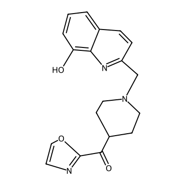 O=C(c1ncco1)C1CCN(Cc2ccc3cccc(O)c3n2)CC1